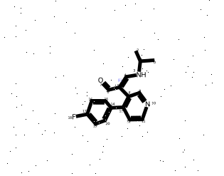 CC(C)N/C=C(/C=O)c1cnccc1-c1ccc(F)cc1